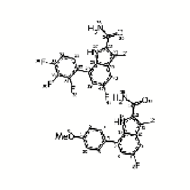 COc1ccc(-c2cc(F)cc3c(C)c(C(N)=O)[nH]c23)cc1.Cc1c(C(N)=O)[nH]c2c(-c3ccc(F)c(F)c3F)cc(F)cc12